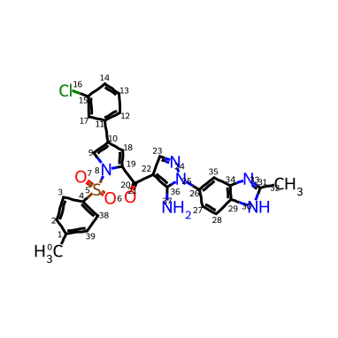 Cc1ccc(S(=O)(=O)n2cc(-c3cccc(Cl)c3)cc2C(=O)c2cnn(-c3ccc4[nH]c(C)nc4c3)c2N)cc1